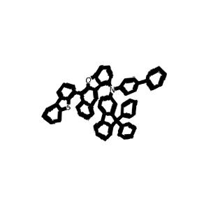 c1ccc(-c2ccc(N(c3ccc4c(c3)C(c3ccccc3)(c3ccccc3)c3ccccc3-4)c3cccc4oc5c(-c6cccc7c6sc6ccccc67)c6ccccc6cc5c34)cc2)cc1